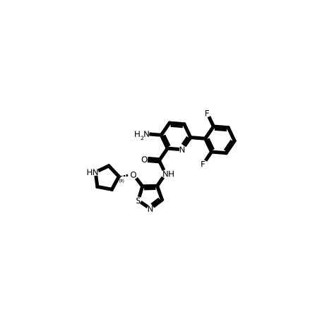 Nc1ccc(-c2c(F)cccc2F)nc1C(=O)Nc1cnsc1O[C@@H]1CCNC1